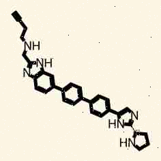 C#CCCNCc1nc2ccc(-c3ccc(-c4ccc(-c5cnc([C@@H]6CCCN6)[nH]5)cc4)cc3)cc2[nH]1